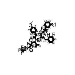 COc1ccc([C@H](NC(=O)[C@H](Cc2cccc(F)c2)NC(=O)C(F)(F)c2cccc(Cl)c2)C(=O)N[C@H](C(=O)C(F)(F)C(=O)NCC(F)(F)F)C(C)C)cc1